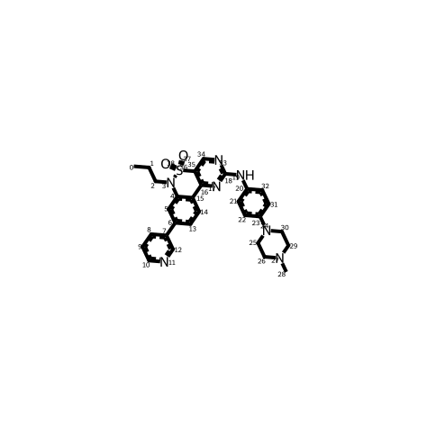 CCCN1c2cc(-c3cccnc3)ccc2-c2nc(Nc3ccc(N4CCN(C)CC4)cc3)ncc2S1(=O)=O